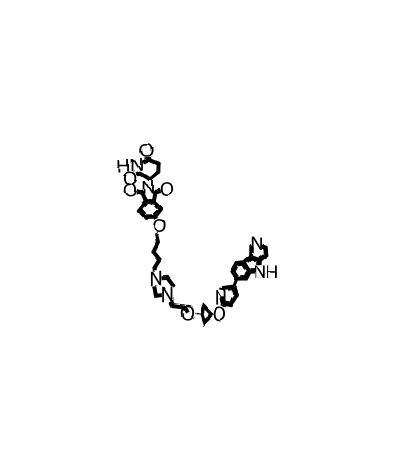 O=C1CCC(N2C(=O)c3ccc(OCCCCCN4CCN(CCO[C@H]5C[C@@H](Oc6ccc(-c7ccc8c(c7)[nH]c7ccncc78)cn6)C5)CC4)cc3C2=O)C(=O)N1